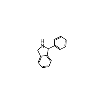 [c]1ccccc1C1NCc2ccccc21